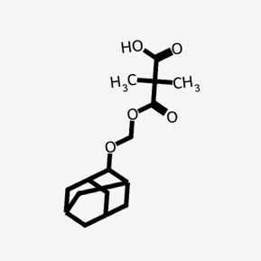 CC(C)(C(=O)O)C(=O)OCOC1C2CC3CC(C2)CC1C3